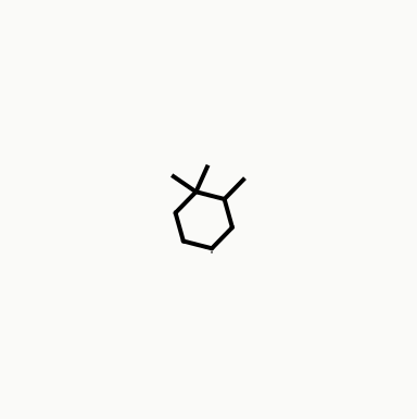 CC1C[CH]CCC1(C)C